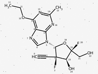 C#C[C@]1(F)[C@H](n2cnc3c(OCC)nc(C)nc32)O[C@](F)(CO)[C@H]1O